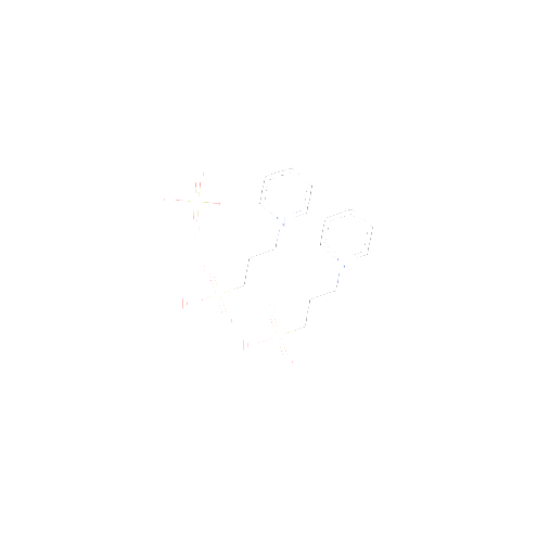 O=S(=O)(O)CCC[n+]1ccccc1.O=S(=O)(O)CCC[n+]1ccccc1.O=S(=O)([O-])[O-]